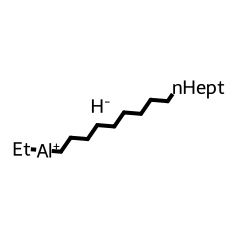 CCCCCCCCCCCCCCC[CH2][Al+][CH2]C.[H-]